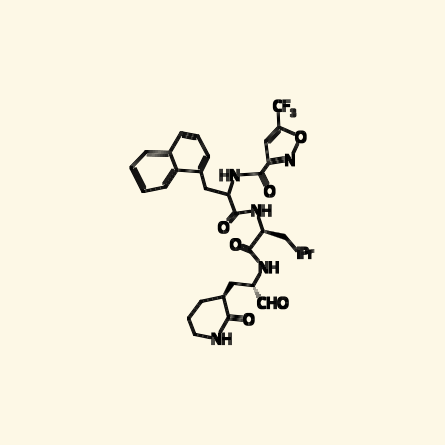 CC(C)C[C@H](NC(=O)C(Cc1cccc2ccccc12)NC(=O)c1cc(C(F)(F)F)on1)C(=O)N[C@H](C=O)C[C@@H]1CCCNC1=O